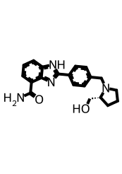 NC(=O)c1cccc2[nH]c(-c3ccc(CN4CCC[C@@H]4CO)cc3)nc12